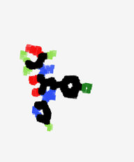 O=C(NC(C(O)F)C(F)F)c1cc(-c2ccc(Cl)cc2)nn(-c2cncc(F)c2)c1=O